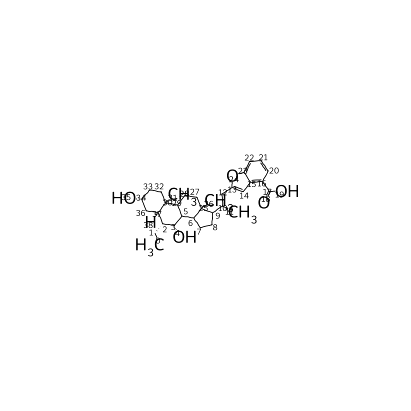 CC[C@H]1[C@@H](O)C2C3CCC([C@H](C)Cc4cc5c(C(=O)O)cccc5o4)[C@@]3(C)CCC2[C@@]2(C)CC[C@@H](O)C[C@@H]12